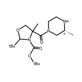 C[C@@H]1CN(C(=O)C2(C)COC(C(C)(C)C)N2C(=O)OC(C)(C)C)CCN1